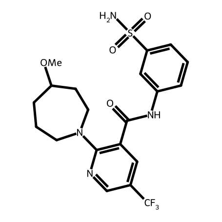 COC1CCCN(c2ncc(C(F)(F)F)cc2C(=O)Nc2cccc(S(N)(=O)=O)c2)CC1